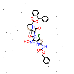 O=C(Nc1nc(/C(=N/O)C(=O)N[C@@H]2C(=O)N3C(C(=O)OC(c4ccccc4)c4ccccc4)=CCS[C@H]23)c(F)s1)OCc1ccccc1